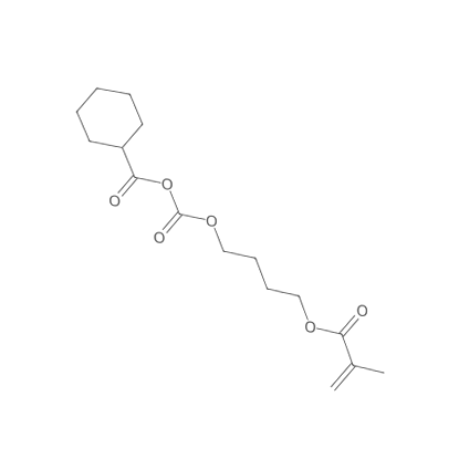 C=C(C)C(=O)OCCCCOC(=O)OC(=O)C1CCCCC1